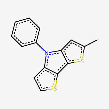 Cc1cc2c(s1)c1sccc1n2-c1ccccc1